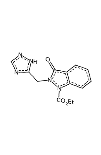 CCOC(=O)n1c2ccccc2c(=O)n1Cc1ncn[nH]1